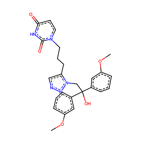 COc1cccc(C(O)(Cn2nncc2CCCn2ccc(=O)[nH]c2=O)c2cccc(OC)c2)c1